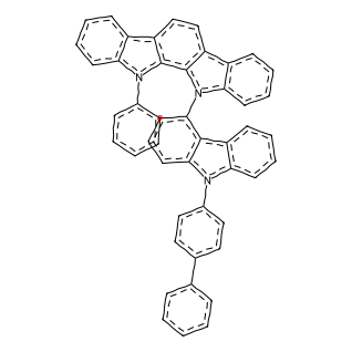 c1ccc(-c2ccc(-n3c4ccccc4c4c(-n5c6ccccc6c6ccc7c8ccccc8n(-c8ccccc8)c7c65)cccc43)cc2)cc1